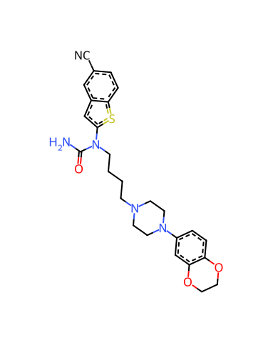 N#Cc1ccc2sc(N(CCCCN3CCN(c4ccc5c(c4)OCCO5)CC3)C(N)=O)cc2c1